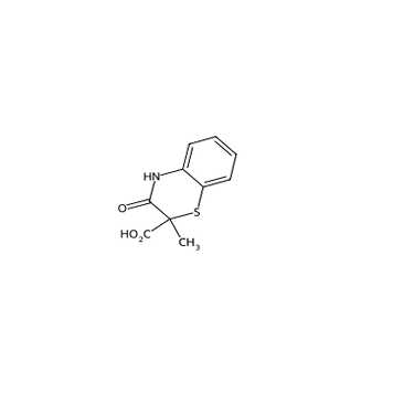 CC1(C(=O)O)Sc2ccccc2NC1=O